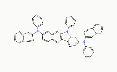 c1ccc(N(c2ccc3ccccc3c2)c2ccc3cc4c5ccc(N(c6ccccc6)c6ccc7ccccc7c6)cc5n(-c5ccccc5)c4cc3c2)cc1